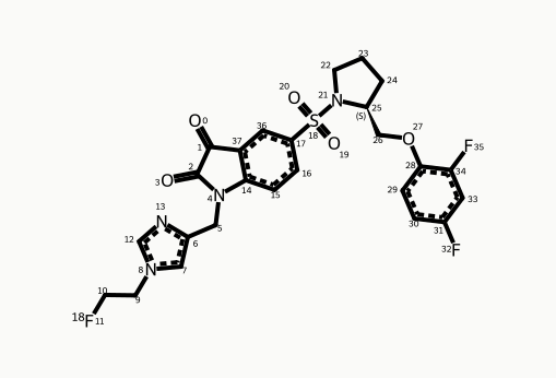 O=C1C(=O)N(Cc2cn(CC[18F])cn2)c2ccc(S(=O)(=O)N3CCC[C@H]3COc3ccc(F)cc3F)cc21